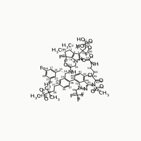 C[C@@H]1c2c(C(F)(F)F)nn(CC(=O)N[C@@H](Cc3cc(F)cc(F)c3)c3cc(CCC(C)(C)S(C)(=O)=O)ccc3-c3ccc(Cl)c4c(N(C(=O)CCCNC(=O)OCOP(=O)(O)O)S(C)(=O)=O)nn(CC(F)(F)F)c34)c2C(F)(F)[C@@H]1C